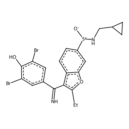 CCc1oc2cc([S+]([O-])NCC3CC3)ccc2c1C(=N)c1cc(Br)c(O)c(Br)c1